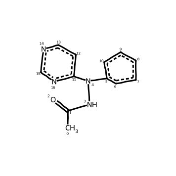 CC(=O)NN(c1ccccc1)c1ccn[c]n1